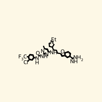 CCN1CCC(C(CCc2cc3cc(C(=N)N)ccc3o2)Nc2cc(C)nc(NC(=O)Nc3ccc(C(F)(F)F)c(Cl)c3)n2)C1